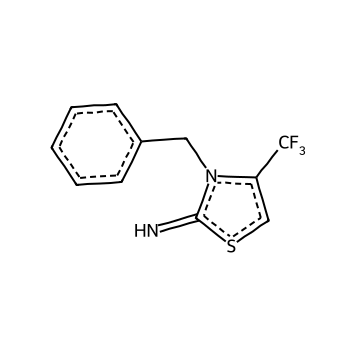 N=c1scc(C(F)(F)F)n1Cc1ccccc1